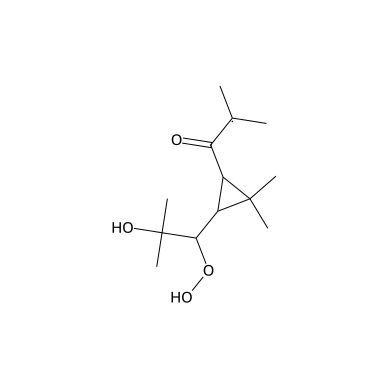 C[C](C)C(=O)C1C(C(OO)C(C)(C)O)C1(C)C